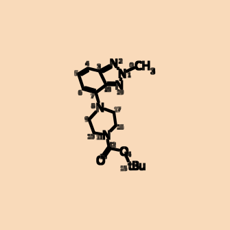 Cn1nc2cccc(N3CCN(C(=O)OC(C)(C)C)CC3)c2n1